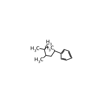 CC(CC(C)C(C)C)c1ccccc1